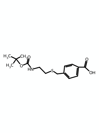 CC(C)(C)OC(=O)NCCSCc1ccc(C(=O)O)cc1